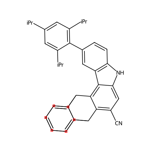 CC(C)c1cc(C(C)C)c(-c2ccc3[nH]c4cc(C#N)c5c(c4c3c2)C2c3ccccc3C5c3ccccc32)c(C(C)C)c1